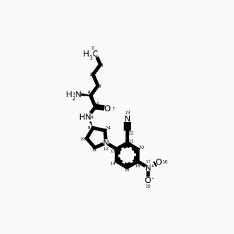 CCCC[C@H](N)C(=O)N[C@H]1CCN(c2ccc([N+](=O)[O-])cc2C#N)C1